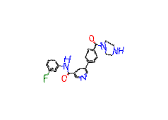 O=C(Nc1cccc(F)c1)c1cncc(-c2ccc(C(=O)N3CCNCC3)cc2)c1